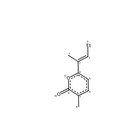 CC/C=C(\C)c1ccc(C)c(=O)o1